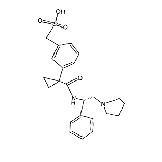 O=C(N[C@H](CN1CCCC1)c1ccccc1)C1(c2cccc(CS(=O)(=O)O)c2)CC1